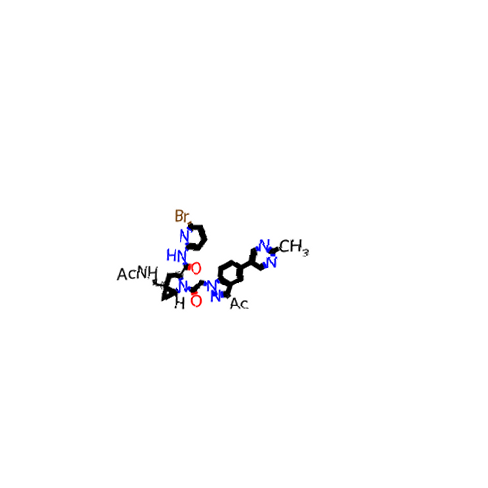 CC(=O)NC[C@@]12C[C@@H](C(=O)Nc3cccc(Br)n3)N(C(=O)Cn3nc(C(C)=O)c4cc(-c5cnc(C)nc5)ccc43)[C@@H]1C2